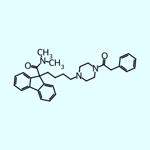 CN(C)C(=O)C1(CCCCN2CCN(C(=O)Cc3ccccc3)CC2)c2ccccc2-c2ccccc21